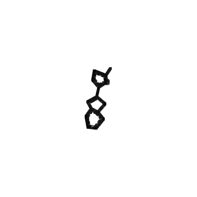 Cc1ccc(C2=Cc3ccccc3C2)o1